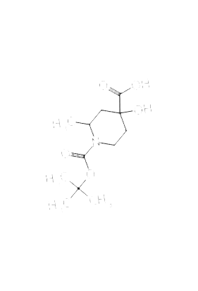 CC1CC(O)(C(=O)O)CCN1C(=O)OC(C)(C)C